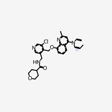 C=CN(/C=C\C)c1cc(C)nc2c(OCc3c(Cl)cncc3CNC(=O)C3CCOCC3)cccc12